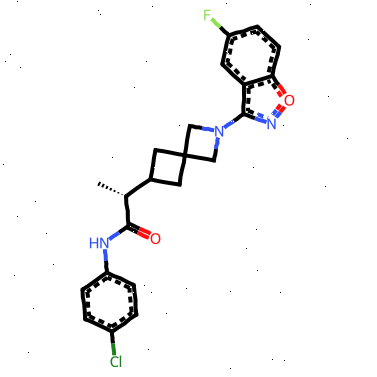 C[C@@H](C(=O)Nc1ccc(Cl)cc1)C1CC2(C1)CN(c1noc3ccc(F)cc13)C2